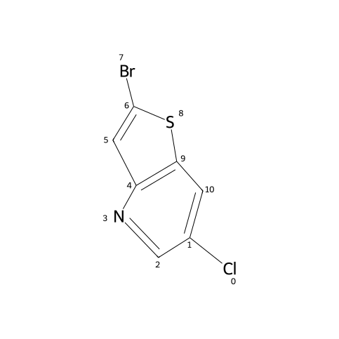 Clc1cnc2cc(Br)sc2c1